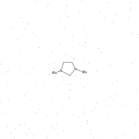 CC(C)(C)N1[C]N(C(C)(C)C)CC1